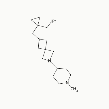 CC(C)CC1(CN2CC3(C2)CN(C2CCN(C)CC2)C3)CC1